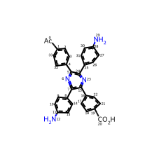 CC(=O)c1ccc(-c2nc(-c3ccc(N)cc3)c(-c3ccc(C(=O)O)cc3)nc2-c2ccc(N)cc2)cc1